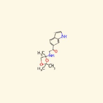 CC1(NCC(=O)c2ccc3[c]c[nH]c3c2)COC(C)(C)O1